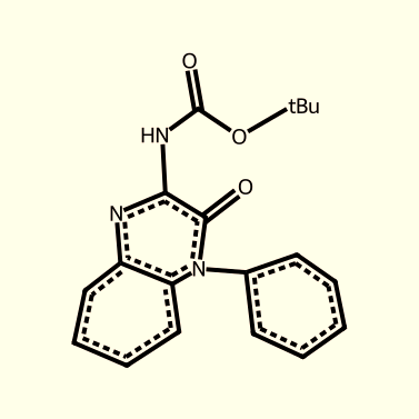 CC(C)(C)OC(=O)Nc1nc2ccccc2n(-c2ccccc2)c1=O